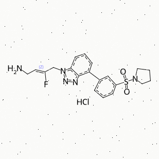 Cl.NC/C=C(\F)Cn1nnc2c(-c3cccc(S(=O)(=O)N4CCCC4)c3)cccc21